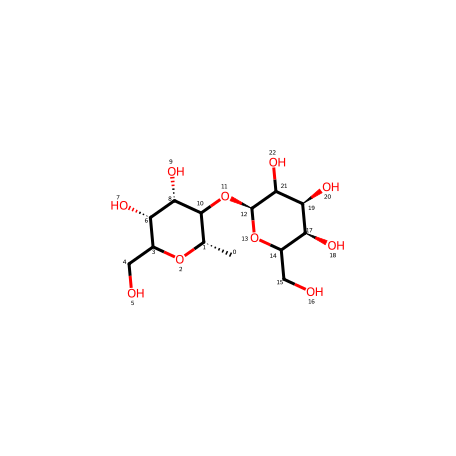 C[C@@H]1OC(CO)[C@H](O)[C@H](O)C1O[C@@H]1OC(CO)[C@H](O)[C@H](O)C1O